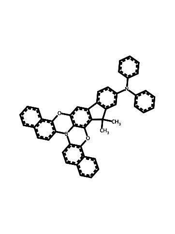 CC1(C)c2cc(N(c3ccccc3)c3ccccc3)ccc2-c2cc3c4c(c21)Oc1c(ccc2ccccc12)B4c1ccc2ccccc2c1O3